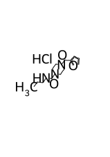 CCCNC(=O)N1CCN(C(=O)c2ccco2)CC1.Cl